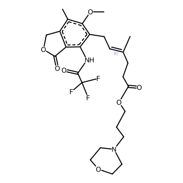 COc1c(C)c2c(c(NC(=O)C(F)(F)F)c1C/C=C(\C)CCC(=O)OCCCN1CCOCC1)C(=O)OC2